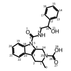 CC1Cc2c(n(C(=O)NCC(O)c3ccccc3)c3ccccc23)CN1C(=O)O